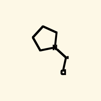 Cl[C]N1CCCC1